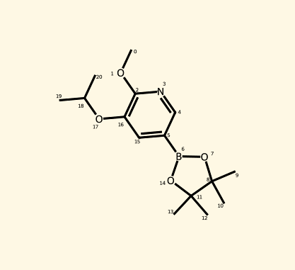 COc1ncc(B2OC(C)(C)C(C)(C)O2)cc1OC(C)C